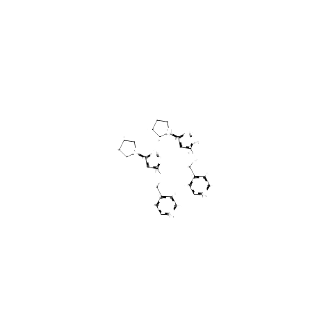 I.[I-].[I-].c1cc(CSc2cc(=[N+]3CCCC3)ss2)ccn1.c1cc(CSc2cc(=[N+]3CCCC3)ss2)ccn1